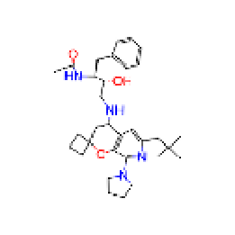 CC(=O)N[C@@H](Cc1ccccc1)[C@H](O)CN[C@H]1CC2(CCC2)Oc2c1cc(CC(C)(C)C)nc2N1CCCC1